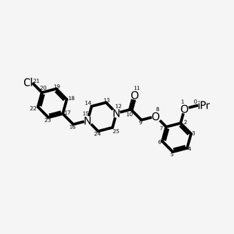 CC(C)Oc1ccccc1OCC(=O)N1CCN(Cc2ccc(Cl)cc2)CC1